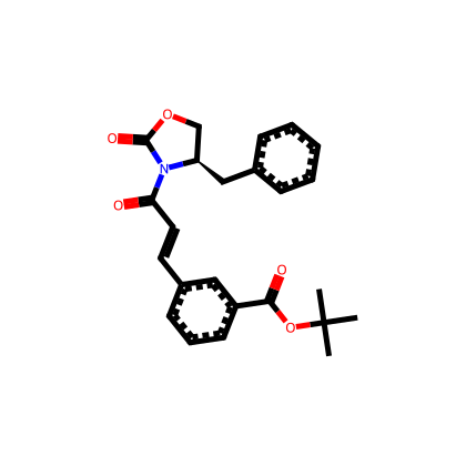 CC(C)(C)OC(=O)c1cccc(C=CC(=O)N2C(=O)OC[C@H]2Cc2ccccc2)c1